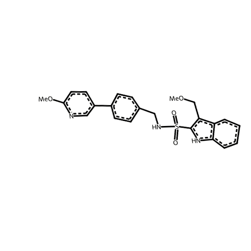 COCc1c(S(=O)(=O)NCc2ccc(-c3ccc(OC)nc3)cc2)[nH]c2ccccc12